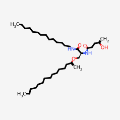 C=C(O)CCC(=O)N[C@@H](COC(=C)CCCCCCCCCCCCC)C(=O)NCCCCCCCCCCCCCC